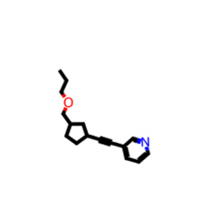 CCCOCC1CCC(C#Cc2cccnc2)C1